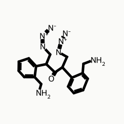 [N-]=[N+]=NCC(C(=O)C(CN=[N+]=[N-])c1ccccc1CN)c1ccccc1CN